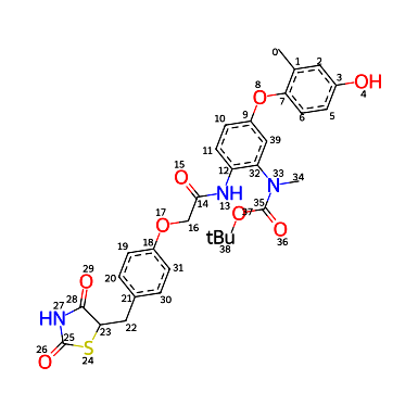 Cc1cc(O)ccc1Oc1ccc(NC(=O)COc2ccc(CC3SC(=O)NC3=O)cc2)c(N(C)C(=O)OC(C)(C)C)c1